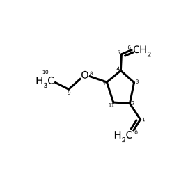 C=CC1CC(C=C)C(OCC)C1